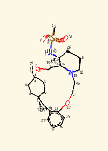 B[C@]12CC[C@H](CC1)OC[C@H]1[C@@H](NS(C)(=O)=O)CCCN1CCOc1ccccc12